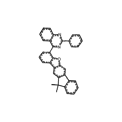 CC1(C)c2ccccc2-c2cc3oc4c(-c5nc(-c6ccccc6)nc6ccccc56)cccc4c3cc21